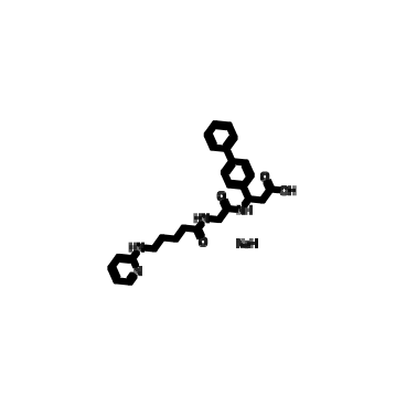 O=C(O)CC(NC(=O)CNC(=O)CCCCNc1ccccn1)c1ccc(-c2ccccc2)cc1.[NaH]